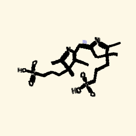 CC1=N/C(=C/C2=C(C)C(C)(CCCS(=O)(=O)O)C(C)=N2)CC1(C)CCCS(=O)(=O)O